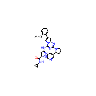 COc1ccccc1-c1cc2nc(N3CCCC3c3cccnc3)nc(Nc3cc(C(=O)NC4CC4)[nH]n3)n2c1